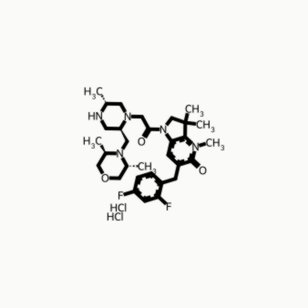 C[C@@H]1CN(CC(=O)N2CC(C)(C)c3c2cc(Cc2ccc(F)cc2F)c(=O)n3C)[C@@H](CN2[C@H](C)COC[C@H]2C)CN1.Cl.Cl